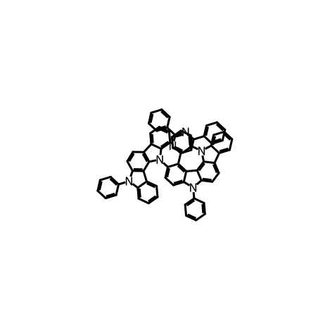 c1ccc(-c2cc(-c3c(-n4c5ccccc5c5ccc6c(c7ccccc7n6-c6ccccc6)c54)ccc4c3c3c(ccc5c6ccccc6n(-c6ccccc6)c53)n4-c3ccccc3)nc(-c3ccccc3)n2)cc1